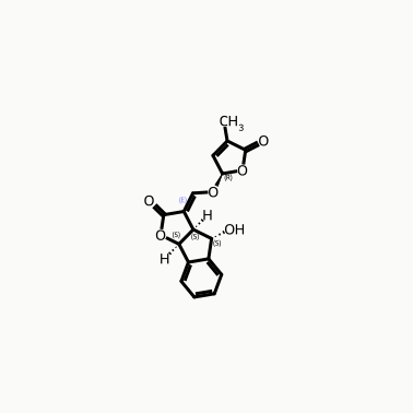 CC1=C[C@H](O/C=C2/C(=O)O[C@@H]3c4ccccc4[C@@H](O)[C@H]23)OC1=O